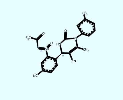 CC1=C(C#N)[C@@H](c2ccc(C#N)cc2/[SH](=O)=N/C(=O)C(F)(F)F)NC(=O)N1c1cccc(C(F)(F)F)c1